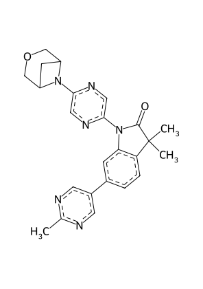 Cc1ncc(-c2ccc3c(c2)N(c2cnc(N4C5COCC4C5)cn2)C(=O)C3(C)C)cn1